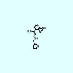 NC(=NCNCc1cccnc1)c1ccnc2[nH]cnc12